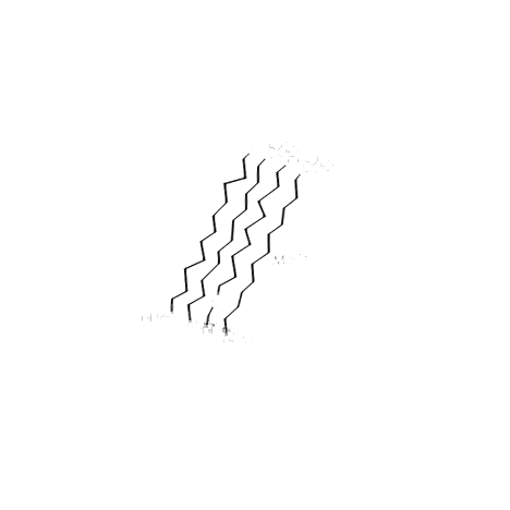 CCCCCCCCCCCCCCCCCCCCCC(=O)[O-].CCCCCCCCCCCCCCCCCCCCCC(=O)[O-].CCCCCCCCCCCCCCCCCCCCCC(=O)[O-].CCCCCCCCCCCCCCCCCCCCCC(=O)[O-].[Mo+4]